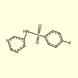 O=S(=O)(Nc1cncnc1)c1ccc(F)cc1